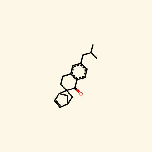 CC(C)Cc1ccc2c(c1)CCC1(CC3C=CC1C3)C2=O